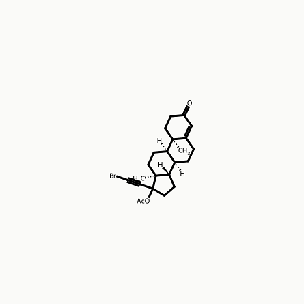 CC(=O)OC1(C#CBr)CC[C@H]2[C@@H]3CCC4=CC(=O)CC[C@]4(C)[C@@H]3CC[C@@]21C